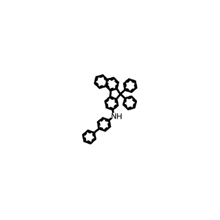 c1ccc(-c2ccc(Nc3ccc4c(c3)C(c3ccccc3)(c3ccccc3)c3ccc5ccccc5c3-4)cc2)cc1